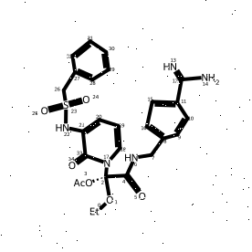 CCO[C@](OC(C)=O)(C(=O)NCc1ccc(C(=N)N)cc1)n1cccc(NS(=O)(=O)Cc2ccccc2)c1=O